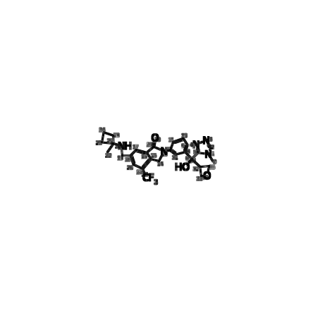 Cn1cnnc1[C@@](O)(c1cccc(N2Cc3c(cc(CNC4(C)CCC4)cc3C(F)(F)F)C2=O)c1)C1COC1